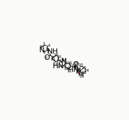 O=C(Nc1cccnc1)c1ccc(-c2nc3cc(C(=O)NC45CC6CC(CC(C6)C4)C5)ccc3[nH]2)cc1